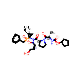 C=C[C@@H]1C[C@]1(NC(=O)[C@@H]1CCCN1C(=O)[C@@H](NC(=O)OC1CCCC1)C(C)(C)C)P(=O)(Cc1ccccc1)OC/C=C\CO